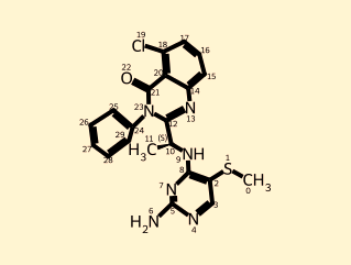 CSc1cnc(N)nc1N[C@@H](C)c1nc2cccc(Cl)c2c(=O)n1-c1ccccc1